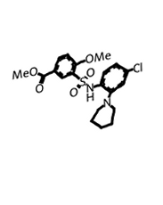 COC(=O)c1ccc(OC)c(S(=O)(=O)Nc2ccc(Cl)cc2N2CCCCC2)c1